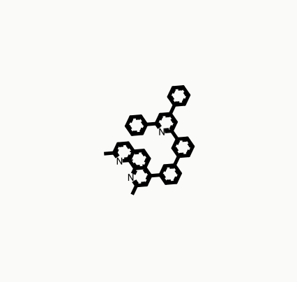 Cc1ccc2ccc3c(-c4cccc(-c5cccc(-c6cc(-c7ccccc7)cc(-c7ccccc7)n6)c5)c4)cc(C)nc3c2n1